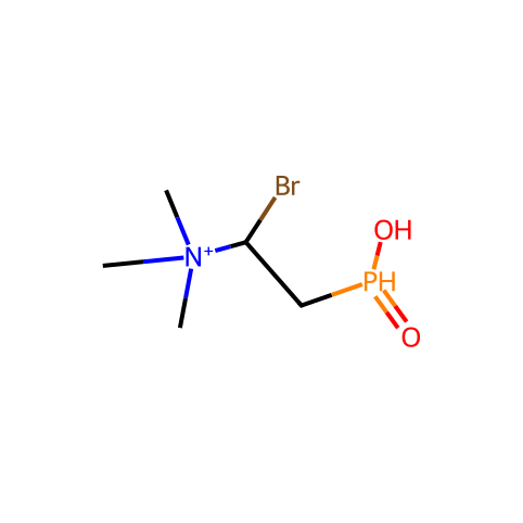 C[N+](C)(C)C(Br)C[PH](=O)O